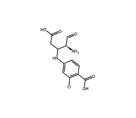 N[C@H](C=O)C(CC(=O)O)Nc1ccc(C(=O)O)c(Cl)c1